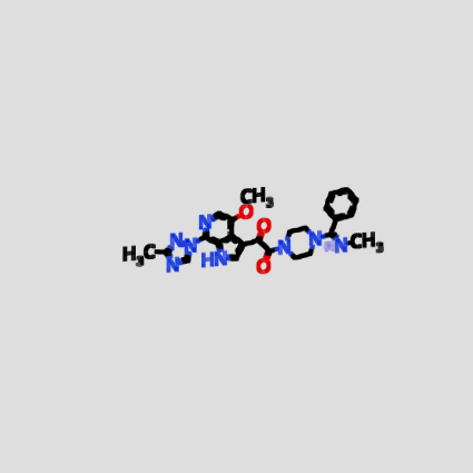 C/N=C(\c1ccccc1)N1CCN(C(=O)C(=O)c2c[nH]c3c(-n4cnc(C)n4)ncc(OC)c23)CC1